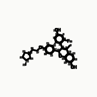 CC1=C(c2ccc(O)cc2F)C(c2ccc(OCCN3CC[C@@H](C)C3)cc2)Oc2cc(O)ccc21